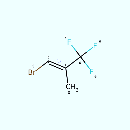 C/C(=[C]\Br)C(F)(F)F